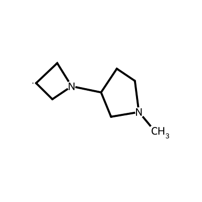 CN1CCC(N2C[CH]C2)C1